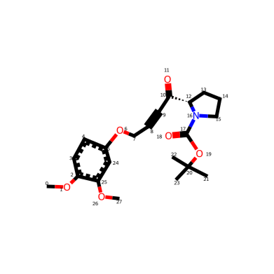 COc1ccc(OCC#CC(=O)[C@@H]2CCCN2C(=O)OC(C)(C)C)cc1OC